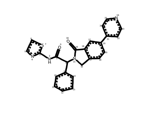 O=C(Nc1nccs1)C(c1ccccc1)N1Cc2ccc(-c3ccncc3)cc2C1=O